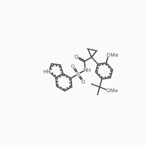 COc1ccc(C(C)(C)OC)cc1C1(C(=O)NS(=O)(=O)c2cccc3[nH]ccc23)CC1